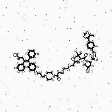 Cc1ncsc1-c1ccc(CNC(=O)[C@@H]2C[C@@H](O)CN2C(=O)C(NC(=O)COCCOCC(=O)N2CCN(CCOc3ccc(/C(=C(/CCCl)c4ccccc4)c4ccccc4)cc3)CC2)C(C)(C)C)cc1